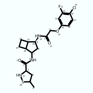 CC1CC(C(=O)NC2C[C@H](NC(=O)COc3ccc(Cl)c(F)c3)C3CCC23)NS1